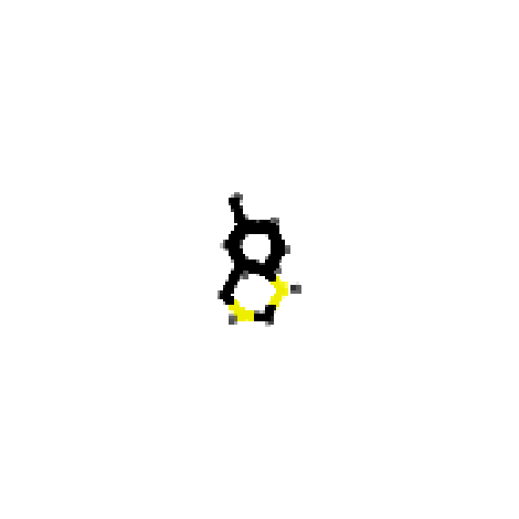 [CH2]c1ccc2c(c1)CS[CH]S2